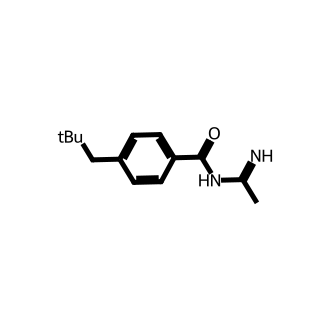 CC(=N)NC(=O)c1ccc(CC(C)(C)C)cc1